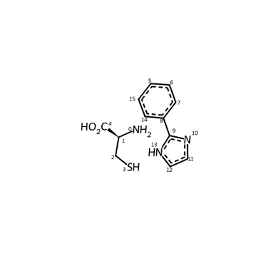 N[C@@H](CS)C(=O)O.c1ccc(-c2ncc[nH]2)cc1